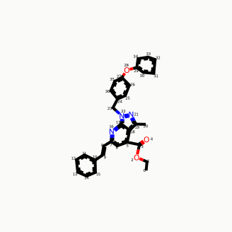 CCOC(=O)c1cc(/C=C/c2ccccc2)nc2c1c(C)nn2Cc1ccc(Oc2ccccc2)cc1